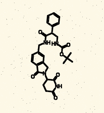 CC(C)(C)OC(=O)NCC(C(=O)NCc1ccc2c(c1)CN(C1CCC(=O)NC1=O)C2=O)c1ccccc1